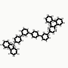 c1cc(-c2ccc(-c3cccc(-c4cnc5c6ccccc6c6ccccc6c5n4)c3)cc2)cc(-c2ccc(-n3c4ccccc4c4ccccc43)cc2)c1